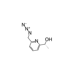 C[C@@H](O)c1cccc(CN=[N+]=[N-])n1